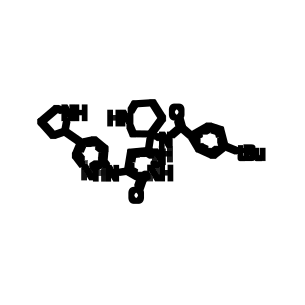 CC(C)(C)c1ccc(C(=O)N[C@]2(c3cc(Nc4ccc(C5CCCN5)cn4)c(=O)[nH]n3)CCCNC2)cc1